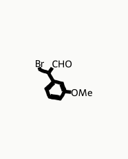 COc1cccc(C(C=O)CBr)c1